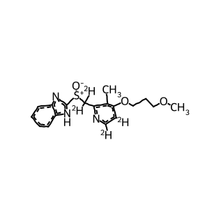 [2H]c1nc(C([2H])([2H])[S+]([O-])c2nc3ccccc3[nH]2)c(C)c(OCCCOC)c1[2H]